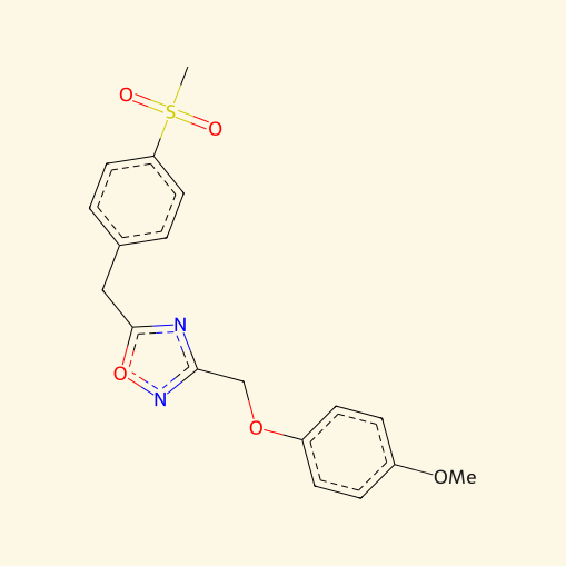 COc1ccc(OCc2noc(Cc3ccc(S(C)(=O)=O)cc3)n2)cc1